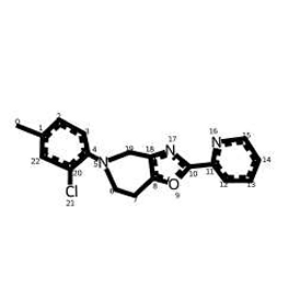 Cc1ccc(N2CCc3oc(-c4ccccn4)nc3C2)c(Cl)c1